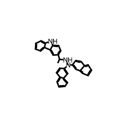 CC(NN(c1ccc2ccccc2c1)c1ccc2ccccc2c1)c1ccc2[nH]c3ccccc3c2c1